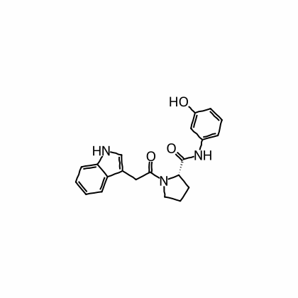 O=C(Nc1cccc(O)c1)[C@@H]1CCCN1C(=O)Cc1c[nH]c2ccccc12